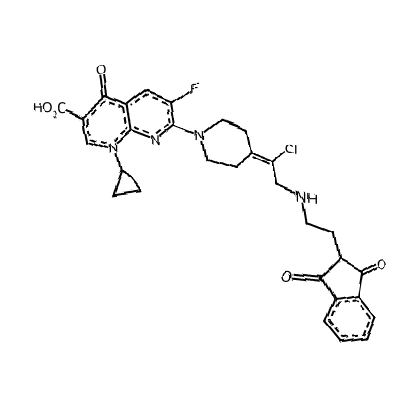 O=C(O)c1cn(C2CC2)c2nc(N3CCC(=C(Cl)CNCCC4C(=O)c5ccccc5C4=O)CC3)c(F)cc2c1=O